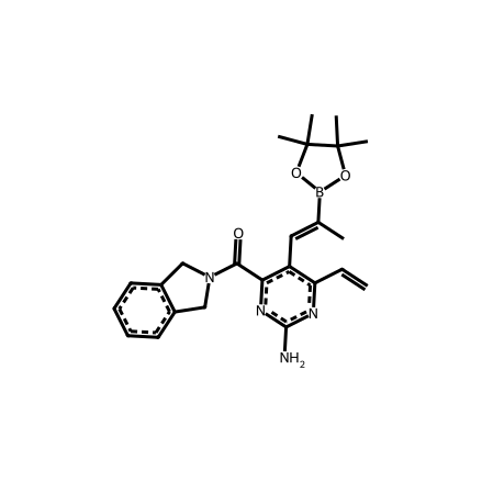 C=Cc1nc(N)nc(C(=O)N2Cc3ccccc3C2)c1C=C(C)B1OC(C)(C)C(C)(C)O1